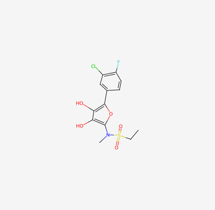 CCS(=O)(=O)N(C)c1oc(-c2ccc(F)c(Cl)c2)c(O)c1O